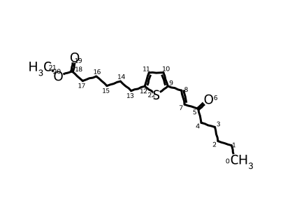 CCCCCC(=O)C=Cc1ccc(CCCCCC(=O)OC)s1